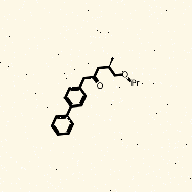 CC(C)OC[C@H](C)CC(=O)Cc1ccc(-c2ccccc2)cc1